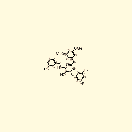 CCc1cccc(CNC[C@H](O)[C@H](Cc2cc(F)cc(F)c2)NC(=O)Cc2cc(OC)cc(OC)c2)c1